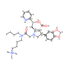 CCCCN(CCCC[N+](C)(C)C)C(=O)CN1C[C@H](c2ccc3c(c2)OCO3)[C@@H](C(=O)O)[C@@H]1CCc1ccccn1